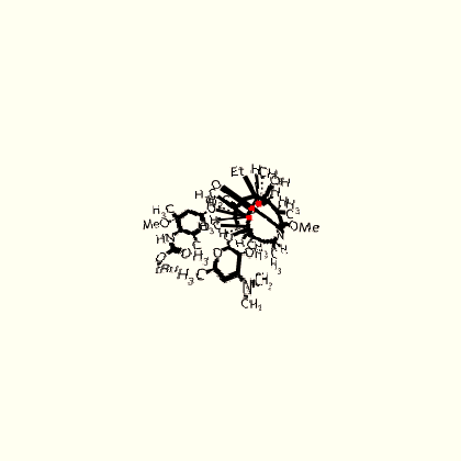 C=C1CC[C@@H]2[C@@H](C)/C(OC)=N\[C@H](C)C[C@@](C)(OC1)[C@H](O[C@@H]1O[C@H](C)C[C@H](N(C)C)[C@H]1O)[C@@H](C)[C@H](O[C@H]1C[C@@](C)(OC)[C@H](NC(=O)OC(C)(C)C)[C@H](C)O1)[C@@H](C)C(=O)O[C@H](CC)[C@@]2(C)O